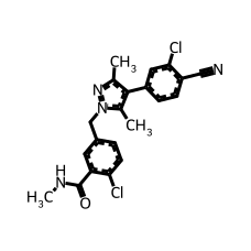 CNC(=O)c1cc(Cn2nc(C)c(-c3ccc(C#N)c(Cl)c3)c2C)ccc1Cl